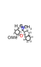 COc1ccccc1O[C@H]1c2ccccc2CC[C@@H]1CN(C)C